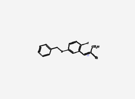 CC/C(=C/c1cc(SCc2ccccc2)ccc1I)C(=O)O